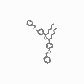 CCCCCC(OC(CCCCC)c1ccc(OCc2ccccc2)cc1)c1ccc(OCc2ccccc2)cc1